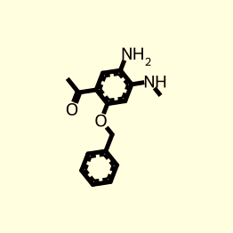 CNc1cc(OCc2ccccc2)c(C(C)=O)cc1N